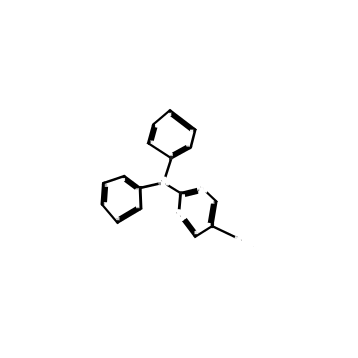 Nc1cnc(N(c2ccccc2)c2ccccc2)nc1